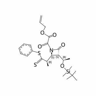 C=CCOC(=O)C(=O)N1C(=O)[C@H]([C@@H](C)O[Si](C)(C)C(C)(C)C)[C@H]1[C@@H](C)C(=S)Sc1ccccc1